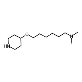 CN(C)CCCCCCOC1CCNCC1